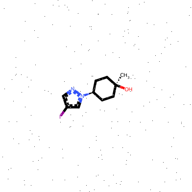 C[C@]1(O)CC[C@@H](n2cc(I)cn2)CC1